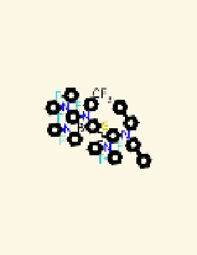 Fc1cccc(F)c1N(c1ccccc1)c1cc2c3c(c1)N(c1c(F)cccc1F)c1ccccc1B3c1cc3c(cc1N2c1ccc(C(F)(F)F)cc1)Sc1cc(N(c2ccc(-c4ccccc4)cc2)c2cccc(-c4ccccc4)c2)cc2c1B3c1ccccc1N2c1c(F)cccc1F